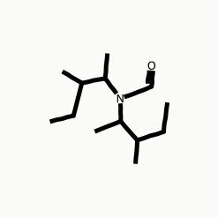 CCC(C)C(C)N(C=O)C(C)C(C)CC